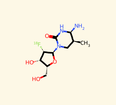 C[C@H]1CN([C@H]2O[C@H](CO)[C@H](O)[C@@H]2[18F])C(=O)N[C@H]1N